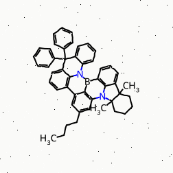 CCCCc1cc2c3c(c1)N1c4c(cccc4C4(C)CCCCC14C)B3N1c3ccccc3C(c3ccccc3)(c3ccccc3)c3cccc-2c31